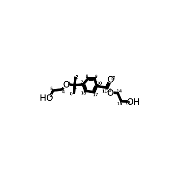 CC(C)(OCCO)c1ccc(C(=O)OCCO)cc1